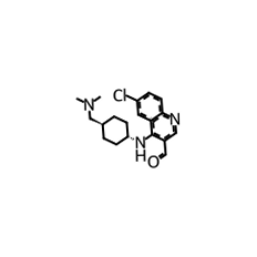 CN(C)C[C@H]1CC[C@H](Nc2c(C=O)cnc3ccc(Cl)cc23)CC1